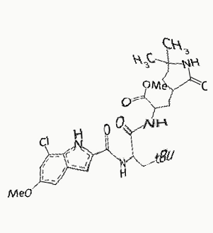 COC(=O)C(CC1CC(C)(C)NC1=O)NC(=O)C(CC(C)(C)C)NC(=O)c1cc2cc(OC)cc(Cl)c2[nH]1